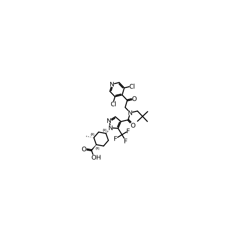 C[C@@H]1C[C@H](n2ncc(C(=O)N(CC(=O)c3c(Cl)cncc3Cl)CC(C)(C)C)c2C(F)(F)F)CC[C@H]1C(=O)O